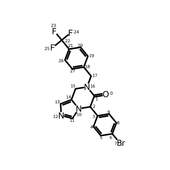 O=C1C(c2ccc(Br)cc2)n2cncc2CN1Cc1ccc(C(F)(F)F)cc1